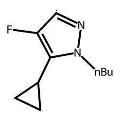 CCCCn1n[c]c(F)c1C1CC1